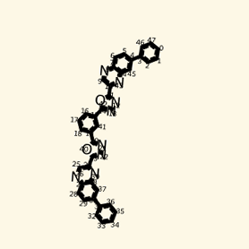 c1ccc(-c2ccc3ncc(-c4nnc(-c5cccc(-c6nnc(-c7cnc8ccc(-c9ccccc9)cc8n7)o6)c5)o4)nc3c2)cc1